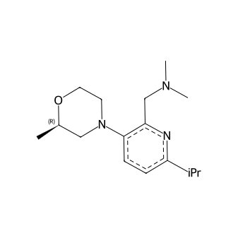 CC(C)c1ccc(N2CCO[C@H](C)C2)c(CN(C)C)n1